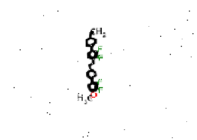 C=CC1CC=C(c2ccc(CCC3CCC(c4ccc(OC)c(F)c4F)CC3)c(F)c2F)CC1